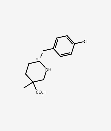 CC1(C(=O)O)CC[C@H](Cc2ccc(Cl)cc2)NC1